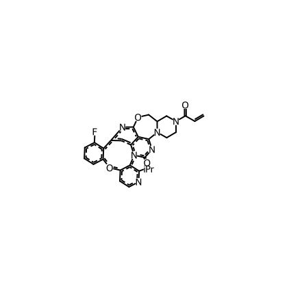 C=CC(=O)N1CCN2c3nc(=O)n4c5cc(nc(c35)OCC2C1)c1c(F)cccc1oc1ccnc(C(C)C)c14